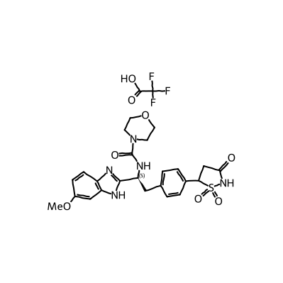 COc1ccc2nc([C@H](Cc3ccc(C4CC(=O)NS4(=O)=O)cc3)NC(=O)N3CCOCC3)[nH]c2c1.O=C(O)C(F)(F)F